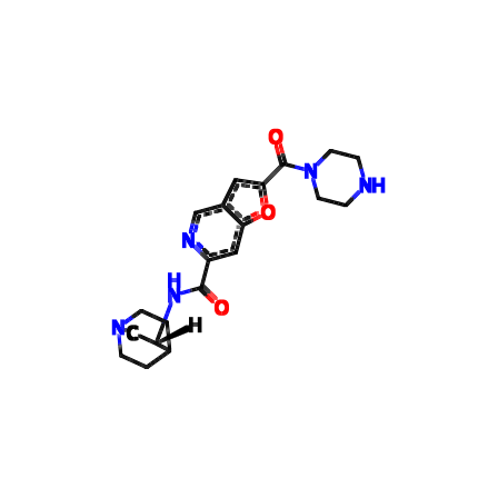 O=C(N[C@H]1CN2CCC1CC2)c1cc2oc(C(=O)N3CCNCC3)cc2cn1